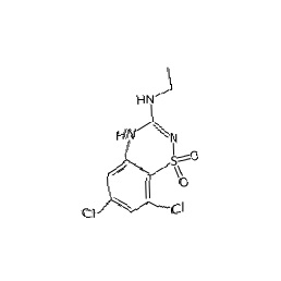 CCNC1=NS(=O)(=O)c2c(Cl)cc(Cl)cc2N1